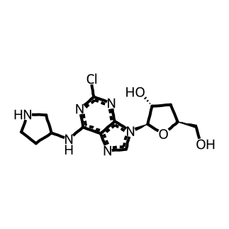 OC[C@@H]1C[C@@H](O)[C@H](n2cnc3c(NC4CCNC4)nc(Cl)nc32)O1